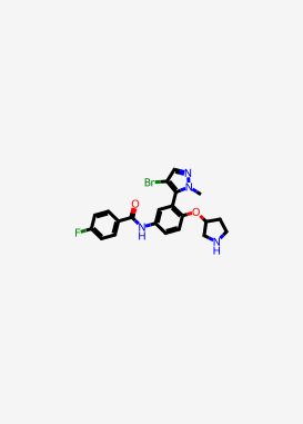 Cn1ncc(Br)c1-c1cc(NC(=O)c2ccc(F)cc2)ccc1OC1CCNC1